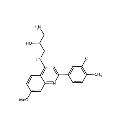 COc1ccc2c(NCC(O)CN)cc(-c3ccc(C)c(Cl)c3)nc2c1